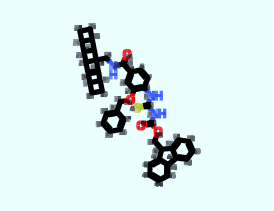 O=C(NC(=S)Nc1ccc(C(=O)NCC23C4=C(C5CCC45)C2C2C4CCC4C23)cc1OCc1ccccc1)OCC1c2ccccc2-c2ccccc21